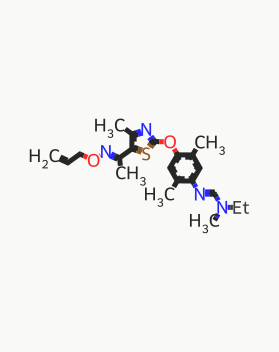 C=CCO/N=C(\C)c1sc(Oc2cc(C)c(/N=C/N(C)CC)cc2C)nc1C